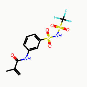 C=C(C)C(=O)Nc1cccc(S(=O)(=O)NS(=O)(=O)C(F)(F)F)c1